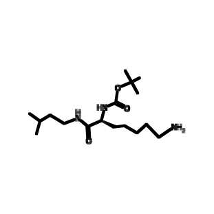 CC(C)CCNC(=O)[C@H](CCCCCN)NC(=O)OC(C)(C)C